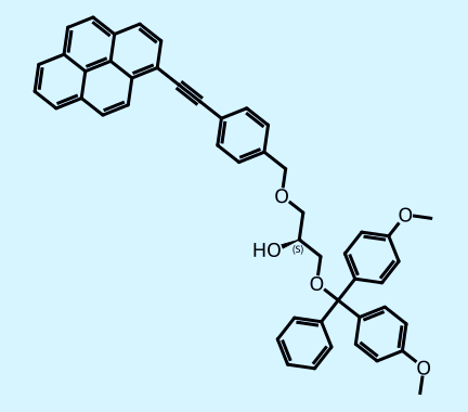 COc1ccc(C(OC[C@@H](O)COCc2ccc(C#Cc3ccc4ccc5cccc6ccc3c4c56)cc2)(c2ccccc2)c2ccc(OC)cc2)cc1